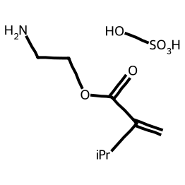 C=C(C(=O)OCCN)C(C)C.O=S(=O)(O)O